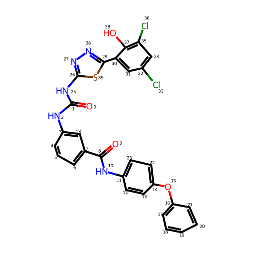 O=C(Nc1cccc(C(=O)Nc2ccc(Oc3ccccc3)cc2)c1)Nc1nnc(-c2cc(Cl)cc(Cl)c2O)s1